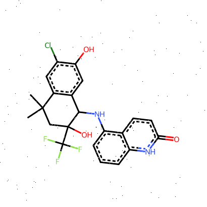 CC1(C)CC(O)(C(F)(F)F)C(Nc2cccc3[nH]c(=O)ccc23)c2cc(O)c(Cl)cc21